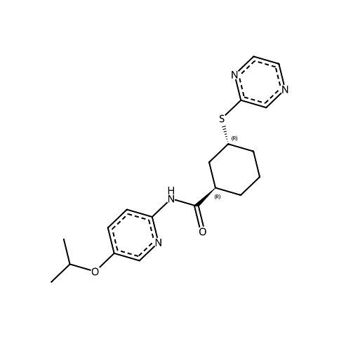 CC(C)Oc1ccc(NC(=O)[C@@H]2CCC[C@@H](Sc3cnccn3)C2)nc1